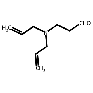 C=CCN(CC=C)CCC=O